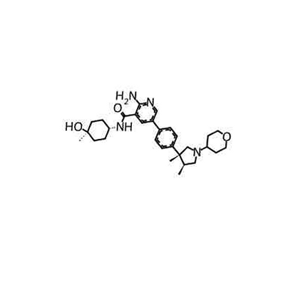 C[C@@H]1CN(C2CCOCC2)C[C@@]1(C)c1ccc(-c2cnc(N)c(C(=O)N[C@H]3CC[C@](C)(O)CC3)c2)cc1